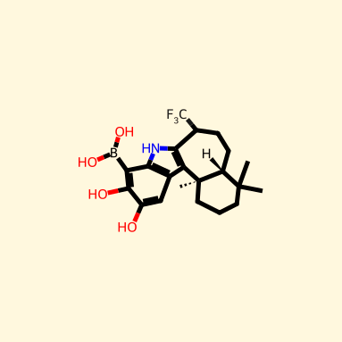 CC1(C)CCC[C@@]2(C)c3c([nH]c4c(B(O)O)c(O)c(O)cc34)C(C(F)(F)F)CC[C@H]12